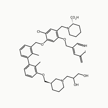 C=C(I)/C=C(\C=N)COc1cc(OCc2cccc(-c3cccc(OC[C@@H]4CCCN(CC(O)CO)C4)c3C)c2C)c(Cl)cc1CN1CCCC[C@H]1C(=O)O